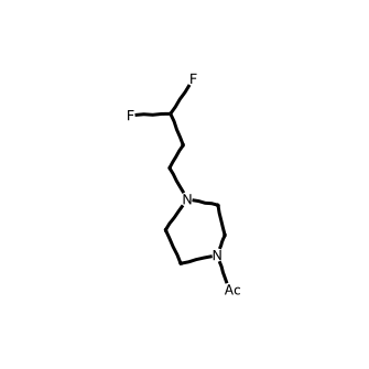 CC(=O)N1CCN(CCC(F)F)CC1